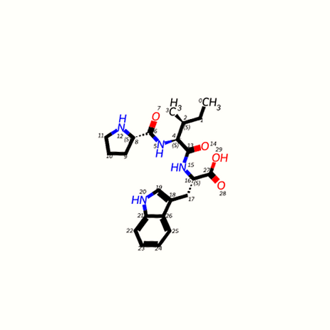 CC[C@H](C)[C@H](NC(=O)[C@@H]1CCCN1)C(=O)N[C@@H](Cc1c[nH]c2ccccc12)C(=O)O